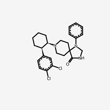 O=C1NCN(c2ccccc2)C12CCN([C@@H]1CCCC[C@@H]1c1ccc(Cl)c(Cl)c1)CC2